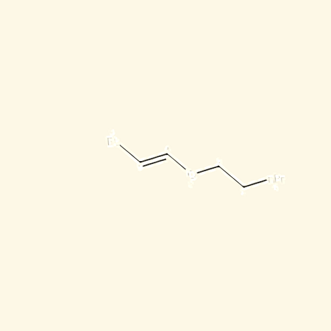 [CH2]CCCCOC=CCC